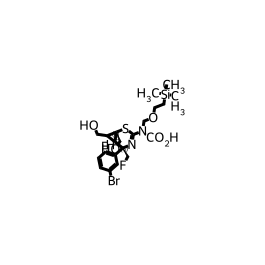 C[Si](C)(C)CCOCN(C(=O)O)C1=N[C@](CF)(c2cc(Br)ccc2F)[C@@H]2C(CO)[C@]2(CO)S1